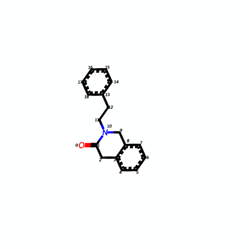 O=C1Cc2ccccc2CN1CCc1ccccc1